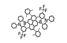 Cc1cccc(C)c1-c1cc2c3c(cc4c(-c5c(C)cccc5C)cc5c6c(cc1c3c46)B1c3ccccc3N(c3ccccc3)c3cc(C(F)(F)F)cc-5c31)B1c3ccccc3N(c3ccccc3)c3cc(C(F)(F)F)cc-2c31